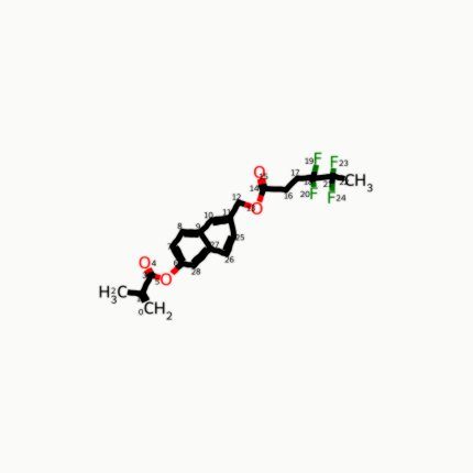 C=C(C)C(=O)Oc1ccc2cc(COC(=O)CCC(F)(F)C(C)(F)F)ccc2c1